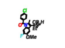 CCC(C(=O)O)(c1c(C)n(C(=O)c2ccc(Cl)cc2)c2cc(F)c(OC)cc12)[Si](C)(C)C